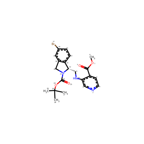 COC(=O)c1ccncc1NC[C@H]1c2ccc(Br)cc2CN1C(=O)OC(C)(C)C